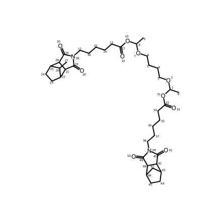 CC(OCCCCOC(C)OC(=O)CCCCCN1C(=O)C2C3CCC(C3C)C2C1=O)OC(=O)CCCCCN1C(=O)C2C3CCC(C3)C2C1=O